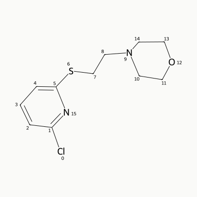 Clc1cccc(SCCN2CCOCC2)n1